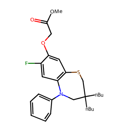 CCCCC1(CCCC)CSc2cc(OCC(=O)OC)c(F)cc2N(c2ccccc2)C1